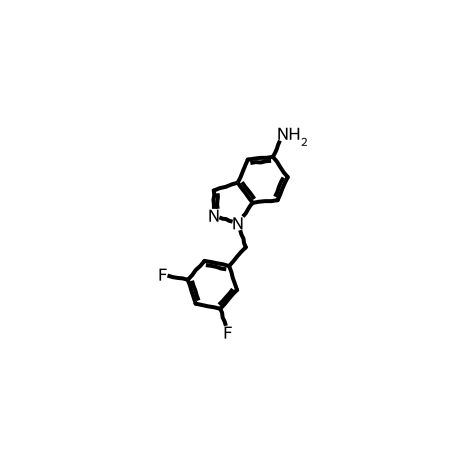 Nc1ccc2c(cnn2Cc2cc(F)cc(F)c2)c1